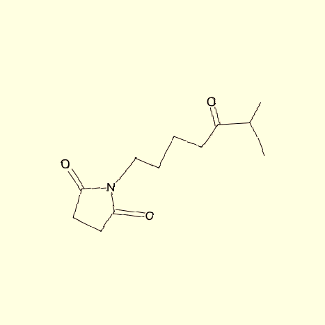 CC(C)C(=O)CCCCN1C(=O)CCC1=O